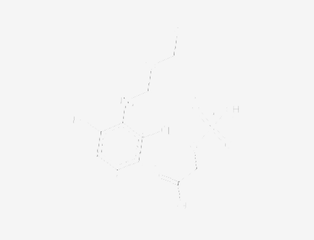 CCOCNc1c(C)cccc1C.CS(=O)(=O)OCC(=O)O